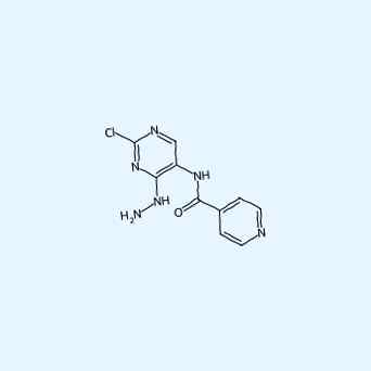 NNc1nc(Cl)ncc1NC(=O)c1ccncc1